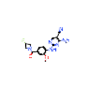 CNc1nc(Nc2ccc(C(=O)N3CC(F)C3)cc2OC)ncc1C#N